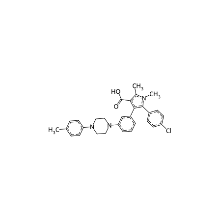 Cc1ccc(N2CCN(c3cccc(-c4c(C(=O)O)c(C)n(C)c4-c4ccc(Cl)cc4)c3)CC2)cc1